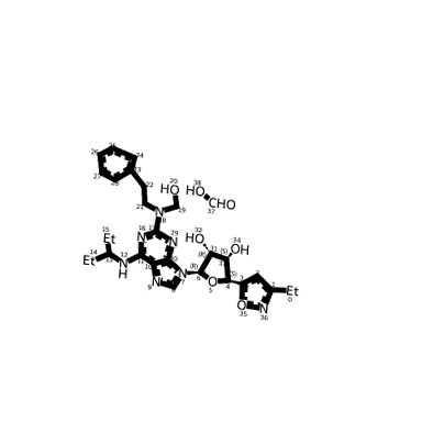 CCc1cc([C@H]2O[C@@H](n3cnc4c(NC(CC)CC)nc(N(CO)CCc5ccccc5)nc43)[C@H](O)[C@@H]2O)on1.O=CO